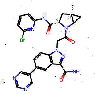 NC(=O)c1nn(CC(=O)N2C3C[C@@H]3C[C@H]2C(=O)Nc2cccc(Br)n2)c2ccc(-c3cncnc3)cc12